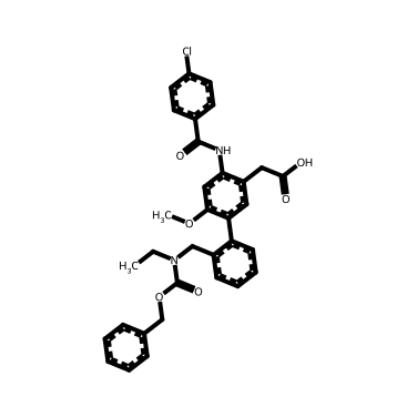 CCN(Cc1ccccc1-c1cc(CC(=O)O)c(NC(=O)c2ccc(Cl)cc2)cc1OC)C(=O)OCc1ccccc1